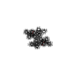 c1ccc(B2c3ccccc3B(c3ccccc3)c3c2ccc2c3-c3cc(N4c5ccccc5N(c5ccccc5)c5ccccc54)ccc3C23c2ccc(N4c5ccccc5N(c5ccccc5)c5ccccc54)cc2-c2c3ccc3c2B(c2ccccc2)c2ccccc2B3c2ccccc2)cc1